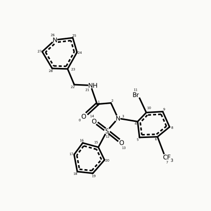 O=C(CN(c1cc(C(F)(F)F)ccc1Br)S(=O)(=O)c1ccccc1)NCc1ccncc1